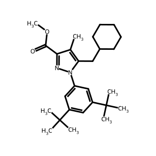 COC(=O)c1nn(-c2cc(C(C)(C)C)cc(C(C)(C)C)c2)c(CC2CCCCC2)c1C